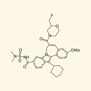 COc1ccc2c(c1)C=C(C(=O)N1CCOC(CF)C1)Cn1c-2c(C2CCCCC2)c2ccc(C(=O)NS(=O)(=O)N(C)C)cc21